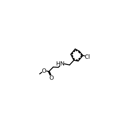 COC(=O)CCNCc1cccc(Cl)c1